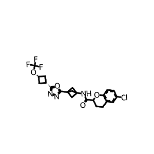 O=C(NC12CC(c3nnc([C@H]4C[C@@H](OC(F)(F)F)C4)o3)(C1)C2)C1CCc2cc(Cl)ccc2O1